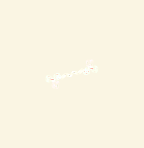 O=C(Cl)OCCCCCCOC(=O)Cl